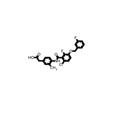 Cc1cc(CC(=O)O)ccc1NC(=O)c1c(Cl)ccc(OCc2cccc(F)c2)c1F